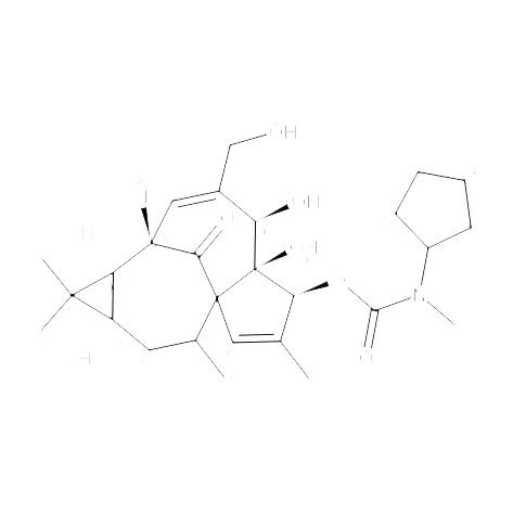 CC1=CC23C(=O)[C@@H](C=C(CO)[C@@H](O)[C@]2(O)[C@H]1OC(=O)N(C)C1CCCC1)[C@H]1[C@@H](CC3C)C1(C)C